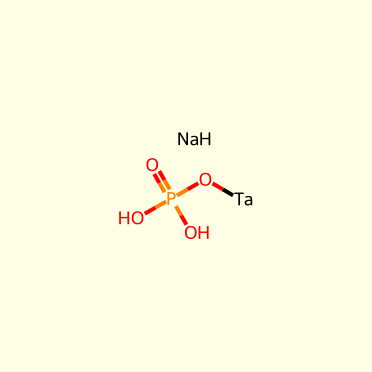 O=P(O)(O)[O][Ta].[NaH]